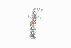 COc1ccc(C(c2ccc(OC(=O)C(F)(F)c3ccc(-c4ccc(C(F)(F)C(C)=O)cc4)cc3)cc2)(C(F)(F)F)C(F)(F)F)cc1